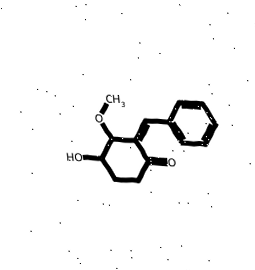 COC1C(=Cc2ccccc2)C(=O)CCC1O